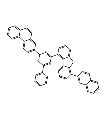 c1ccc(C2=NC(c3cccc4oc5c(-c6ccc7ccccc7c6)cccc5c34)=NC(c3ccc4c(ccc5ccccc54)c3)N2)cc1